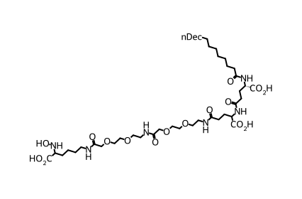 CCCCCCCCCCCCCCCCCC(=O)N[C@@H](CCC(=O)NC(CCC(=O)NCCOCCOCC(=O)NCCOCCOCC(=O)NCCCCC(NO)C(=O)O)C(=O)O)C(=O)O